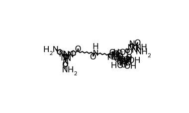 Nc1nc2c(ncn2[C@H]2C[C@@H](O)[C@@H](COP(=O)(O)OP(=O)(O)OP(=O)(O)OP(=O)(O)OP(=O)(O)OP(=O)(O)OCCCCCCNC(=O)CCCCCCC(=O)C3CCN(c4nc(N5CCC(N)CC5)nc(N5CCC(N)CC5)n4)CC3)O2)c(=O)[nH]1